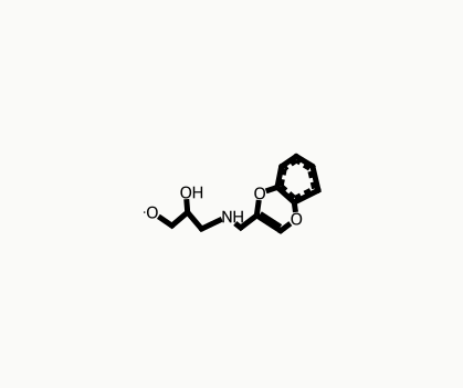 [O]CC(O)CNCC1=COc2ccccc2O1